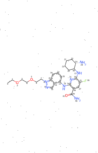 CCOCCOCCn1ncc2c(Nc3nc(NC4CCCC[C@@H]4N)c(F)cc3C(N)=O)cccc21